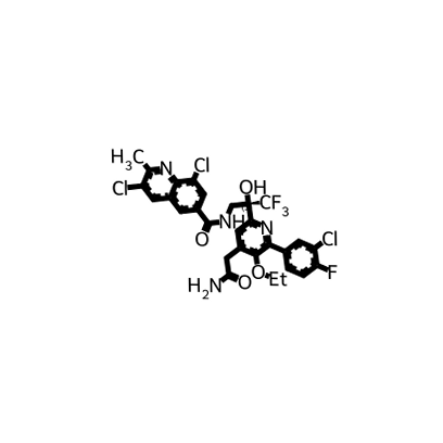 CCOc1c(CC(N)=O)cc([C@@](O)(CNC(=O)c2cc(Cl)c3nc(C)c(Cl)cc3c2)C(F)(F)F)nc1-c1ccc(F)c(Cl)c1